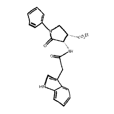 CCOC(=O)[C@H]1CN(c2ccccc2)C(=O)[C@H]1NC(=O)Cc1c[nH]c2ccccc12